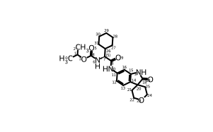 CC(C)OC(=O)N[C@H](C(=O)Nc1ccc2c(c1)NC(=O)C21CCOCC1)C1CCCCC1